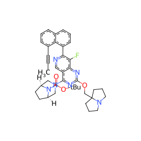 CC#Cc1cccc2cccc(-c3ncc4c(N5C[C@H]6CC[C@@H](C5)N6C(=O)OC(C)(C)C)nc(OCC56CCCN5CCC6)nc4c3F)c12